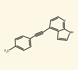 FC(F)(F)c1ccc(C#Cc2ccnc3[nH]ccc23)cc1